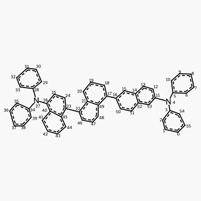 c1ccc(N(c2ccccc2)c2ccc3cc(-c4cccc5c(-c6ccc(N(c7ccccc7)c7ccccc7)c7ccccc67)cccc45)ccc3c2)cc1